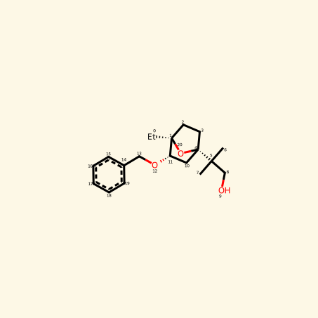 CC[C@@]12CC[C@@](C(C)(C)CO)(C[C@@H]1OCc1ccccc1)O2